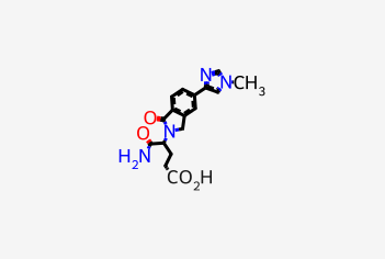 Cn1cnc(-c2ccc3c(c2)CN(C(CCC(=O)O)C(N)=O)C3=O)c1